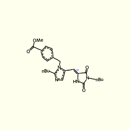 CCCCc1ncc(/C=C2\NC(=O)N(CCCC)C2=O)n1Cc1ccc(C(=O)OC)cc1